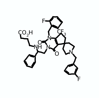 O=C(O)CCCNC(Cn1c(=O)c2c(n(Cc3c(F)cccc3C(F)(F)F)c1=O)CCC21CCN(Cc2cccc(F)c2)CC1)c1ccccc1